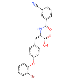 N#Cc1cccc(C(=O)NC(=Cc2ccc(Oc3ccccc3Br)cc2)C(=O)O)c1